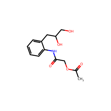 CC(=O)OCC(=O)Nc1ccccc1CC(O)CO